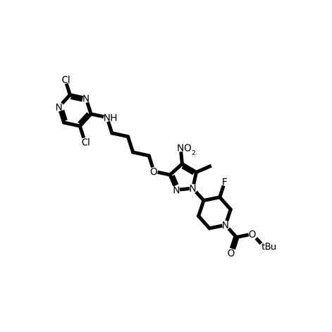 Cc1c([N+](=O)[O-])c(OCCCCNc2nc(Cl)ncc2Cl)nn1C1CCN(C(=O)OC(C)(C)C)CC1F